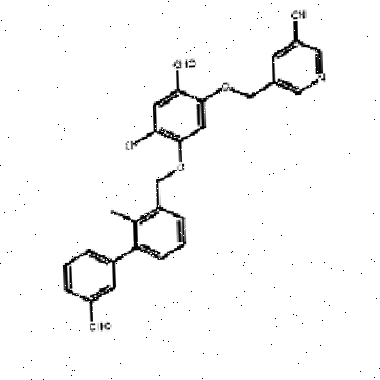 Cc1c(COc2cc(OCc3cncc(C#N)c3)c(C=O)cc2Cl)cccc1-c1cccc(C=O)c1